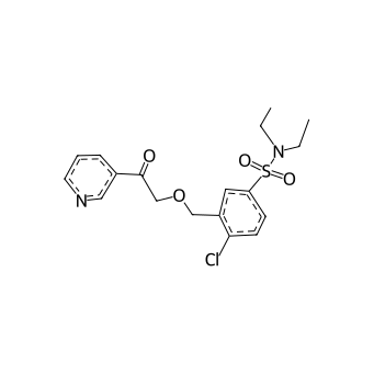 CCN(CC)S(=O)(=O)c1ccc(Cl)c(COCC(=O)c2cccnc2)c1